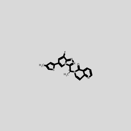 Cc1csc(-c2cc(F)c3nnc([C@@H](C)n4ccc5ncccc5c4=O)n3c2)c1